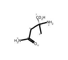 C[C@](N)(CC(N)=O)C(=O)O